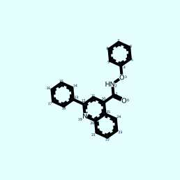 O=C(NOc1ccccc1)c1cc(-c2ccccc2)nc2ccccc12